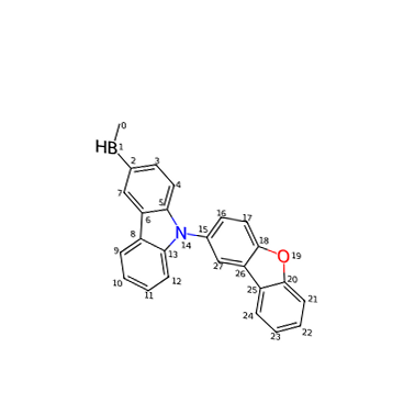 CBc1ccc2c(c1)c1ccccc1n2-c1ccc2oc3ccccc3c2c1